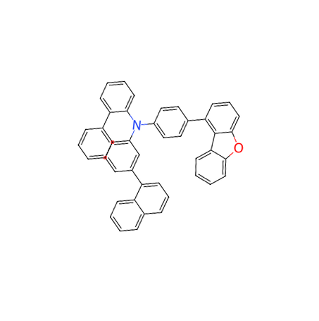 c1ccc(-c2ccccc2N(c2ccc(-c3cccc4oc5ccccc5c34)cc2)c2cccc(-c3cccc4ccccc34)c2)cc1